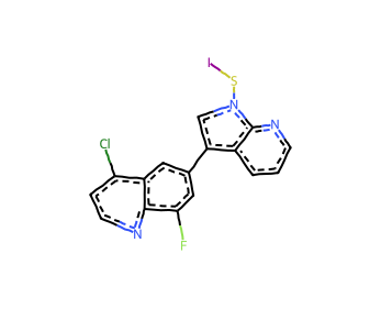 Fc1cc(-c2cn(SI)c3ncccc23)cc2c(Cl)ccnc12